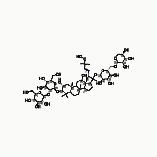 CC(C)(/C=C/CC(C)(O[C@@H]1O[C@H](CO[C@@H]2OC[C@@H](O)[C@H](O)[C@H]2O)[C@@H](O)[C@H](O)[C@H]1O)[C@H]1CC[C@]2(C)[C@@H]1[C@H](O)CC1[C@@]3(C)C[C@@H](O)[C@H](O[C@@H]4O[C@H](CO)[C@@H](O)[C@H](O)[C@H]4O[C@@H]4O[C@H](CO)[C@@H](O)[C@H](O)[C@H]4O)C(C)(C)C3CC[C@]12C)OO